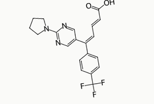 O=C(O)C=CC=C(c1ccc(C(F)(F)F)cc1)c1cnc(N2CCCC2)nc1